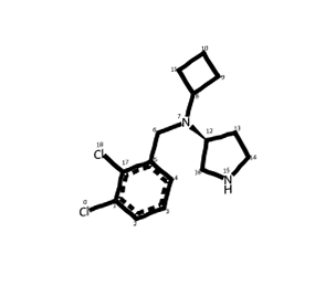 Clc1cccc(CN(C2CCC2)[C@H]2CCNC2)c1Cl